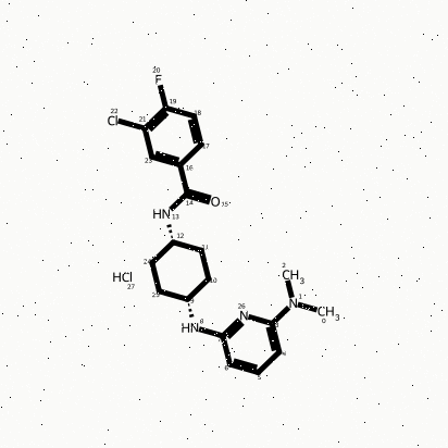 CN(C)c1cccc(N[C@H]2CC[C@@H](NC(=O)c3ccc(F)c(Cl)c3)CC2)n1.Cl